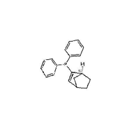 C1=C(P(c2ccccc2)c2ccccc2)[C@H]2CCC1C2